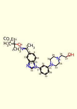 CCOC(=O)C(C)(C)ON=C(C)c1ccc2c(c1)ncn2-c1cccc(N2CCN(CCO)CC2)c1